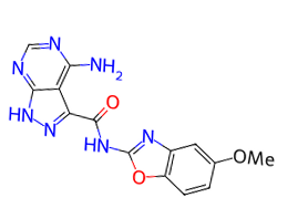 COc1ccc2oc(NC(=O)c3n[nH]c4ncnc(N)c34)nc2c1